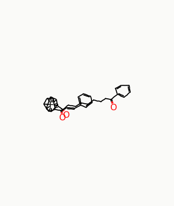 O=C(CCCCCCCC(=O)[C]12[CH]3[CH]4[CH]5[CH]1[Fe]45321678[CH]2[CH]1[CH]6[C]7(C(=O)C=Cc1ccccc1)[CH]28)c1ccccc1